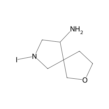 NC1CN(I)CC12CCOC2